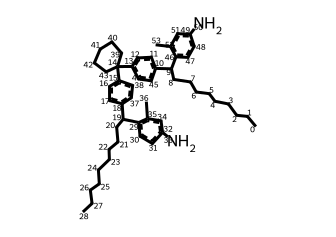 CCCCCCCCCC(c1ccc(C2(c3ccc(C(CCCCCCCCC)c4ccc(N)cc4C)cc3)CCCCC2)cc1)c1ccc(N)cc1C